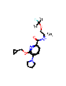 [2H]C([2H])(F)OC[C@H](C)NC(=O)c1ccc(N2CCCC2)c(OCC2CC2)n1